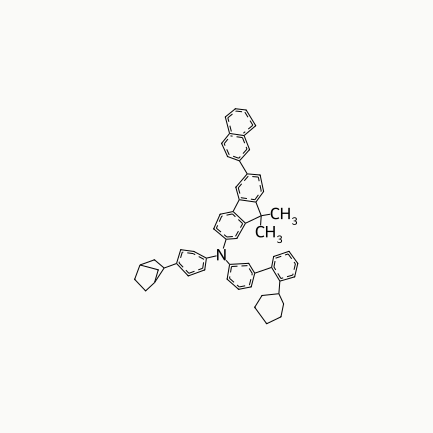 CC1(C)c2ccc(-c3ccc4ccccc4c3)cc2-c2ccc(N(c3ccc(C4CC5CCC4C5)cc3)c3cccc(-c4ccccc4C4CCCCC4)c3)cc21